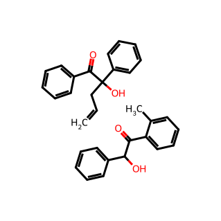 C=CCC(O)(C(=O)c1ccccc1)c1ccccc1.Cc1ccccc1C(=O)C(O)c1ccccc1